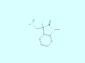 CN1C(=O)C(O)(C[N+](=O)[O-])c2ccccc21